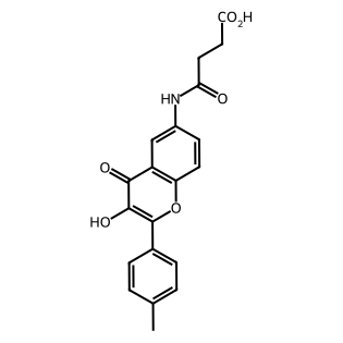 Cc1ccc(-c2oc3ccc(NC(=O)CCC(=O)O)cc3c(=O)c2O)cc1